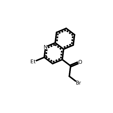 CCc1cc(C(=O)CBr)c2ccccc2n1